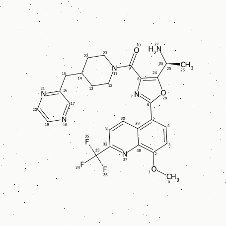 COc1ccc(-c2nc(C(=O)N3CCC(Cc4cnccn4)CC3)c([C@H](C)N)o2)c2ccc(C(F)(F)F)nc12